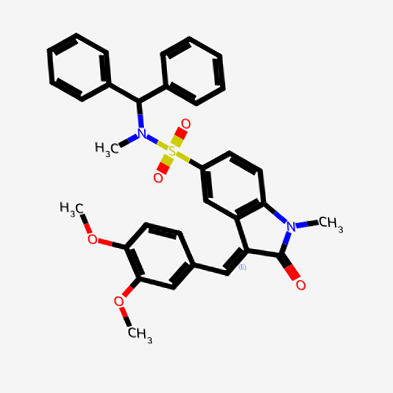 COc1ccc(/C=C2/C(=O)N(C)c3ccc(S(=O)(=O)N(C)C(c4ccccc4)c4ccccc4)cc32)cc1OC